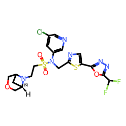 O=S(=O)(CCN1C2COC[C@@H]1C2)N(Cc1ncc(-c2nnc(C(F)F)o2)s1)c1cncc(Cl)c1